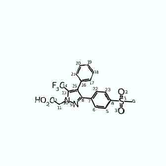 CS(=O)(=O)c1ccc(-c2nn(CC(=O)O)c(C(F)(F)F)c2-c2ccccc2)cc1